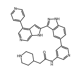 O=C(CC1CCNCC1)Nc1cncc(-c2ccc3[nH]nc(-c4cc5c(-c6ccncc6)cncc5[nH]4)c3c2)c1